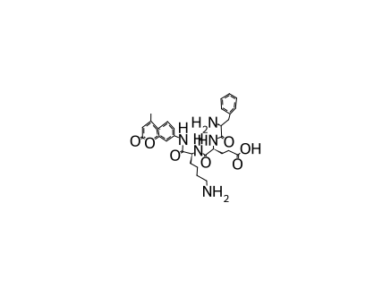 Cc1cc(=O)oc2cc(NC(=O)[C@H](CCCCN)NC(=O)[C@H](CCC(=O)O)NC(=O)[C@@H](N)Cc3ccccc3)ccc12